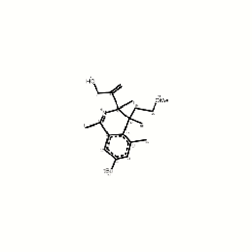 C=C(CO)C1(C)N=C(C)c2cc(C(C)(C)C)cc(C)c2C1(C)CCOC